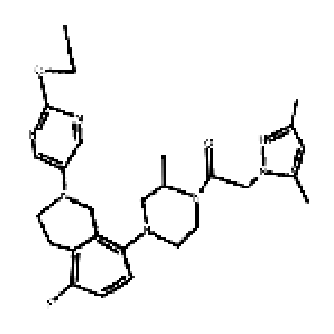 CCOc1ncc(N2CCc3c(F)ccc(N4CCN(C(=O)Cn5nc(C)cc5C)C(C)C4)c3C2)cn1